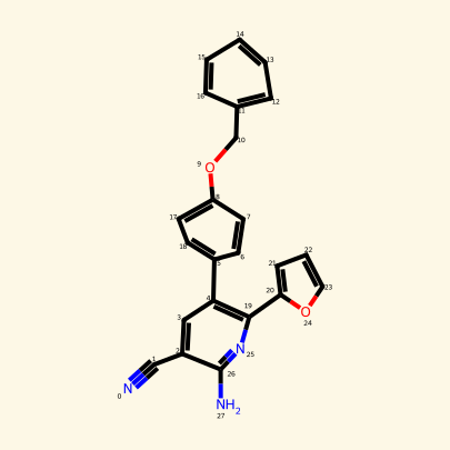 N#Cc1cc(-c2ccc(OCc3ccccc3)cc2)c(-c2ccco2)nc1N